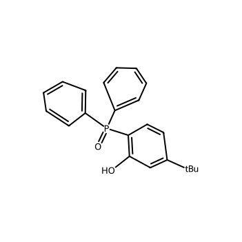 CC(C)(C)c1ccc(P(=O)(c2ccccc2)c2ccccc2)c(O)c1